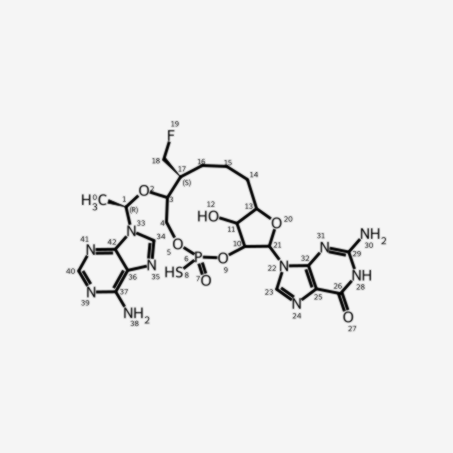 C[C@@H](OC1COP(=O)(S)OC2C(O)C(CCC[C@@H]1CF)OC2n1cnc2c(=O)[nH]c(N)nc21)n1cnc2c(N)ncnc21